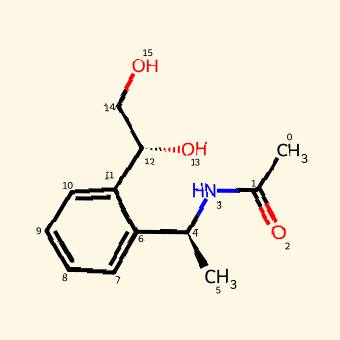 CC(=O)N[C@@H](C)c1ccccc1[C@@H](O)CO